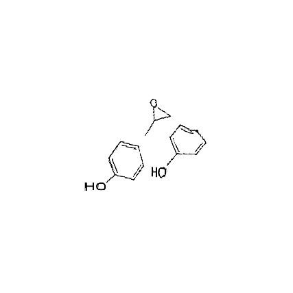 CC1CO1.Oc1ccccc1.Oc1ccccc1